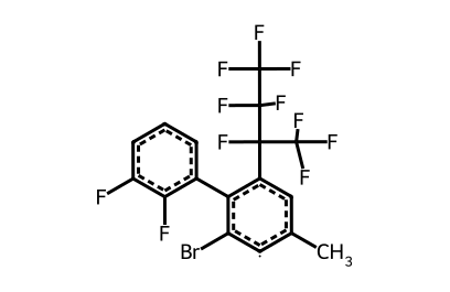 Cc1[c]c(Br)c(-c2cccc(F)c2F)c(C(F)(C(F)(F)F)C(F)(F)C(F)(F)F)c1